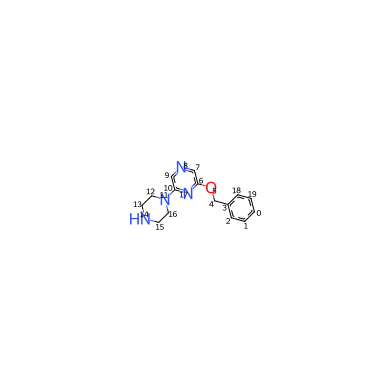 c1ccc(COc2cncc(N3CCNCC3)n2)cc1